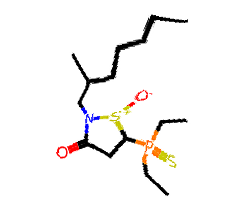 CCCCCC(C)CN1C(=O)CC(P(=S)(CC)CC)[S+]1[O-]